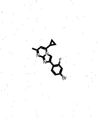 Cc1cc(C2CC2)n2cc(-c3ccc(Br)cc3F)nc2n1